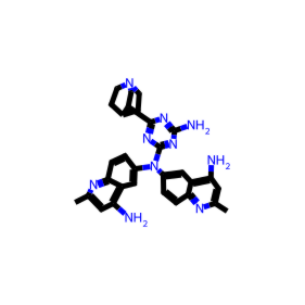 Cc1cc(N)c2cc(N(c3ccc4nc(C)cc(N)c4c3)c3nc(N)nc(C4CN5CCC4CC5)n3)ccc2n1